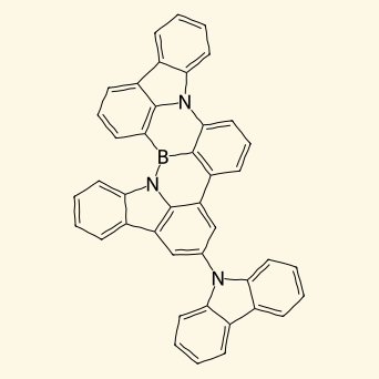 c1cc2c3c(c1)-n1c4ccccc4c4cccc(c41)B3n1c3ccccc3c3cc(-n4c5ccccc5c5ccccc54)cc-2c31